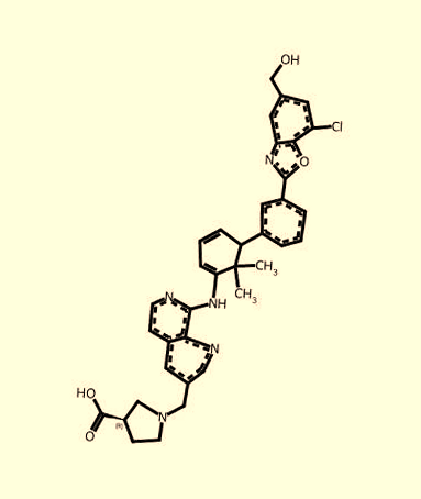 CC1(C)C(Nc2nccc3cc(CN4CC[C@@H](C(=O)O)C4)cnc23)=CC=CC1c1cccc(-c2nc3cc(CO)cc(Cl)c3o2)c1